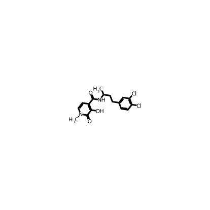 CC(CCc1ccc(Cl)c(Cl)c1)NC(=O)c1ccn(C)c(=O)c1O